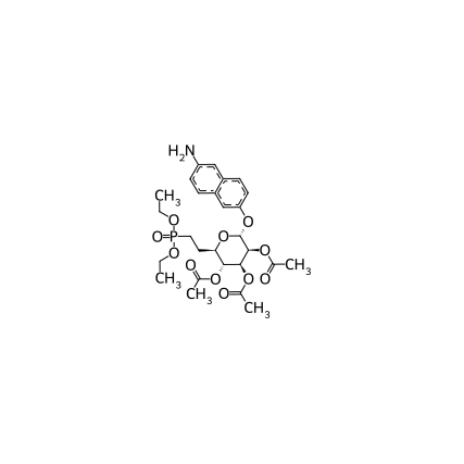 CCOP(=O)(CC[C@H]1O[C@H](Oc2ccc3cc(N)ccc3c2)[C@@H](OC(C)=O)[C@@H](OC(C)=O)[C@@H]1OC(C)=O)OCC